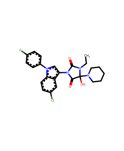 CCN1C(=O)N(c2cn(-c3ccc(F)cc3)c3ccc(Cl)cc23)C(=O)C1(O)N1CCCCC1